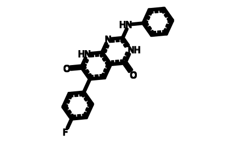 O=c1[nH]c2nc(Nc3ccccc3)[nH]c(=O)c2cc1-c1ccc(F)cc1